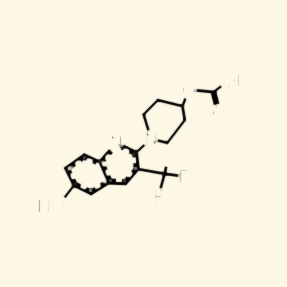 O=C(O)OC1CCN(c2nc3ccc(O)cc3cc2C(F)(F)F)CC1